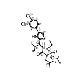 CCOP(=O)(OCC)C(CC(C)C)C(=O)N[C@H](c1ncc(-c2ccc(Cl)c(Cl)c2)[nH]1)C(C)C